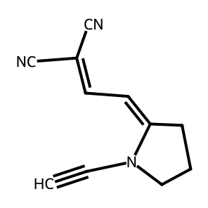 C#CN1CCC/C1=C/C=C(C#N)C#N